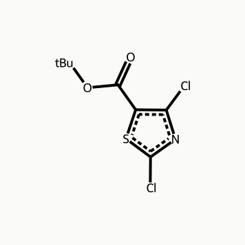 CC(C)(C)OC(=O)c1sc(Cl)nc1Cl